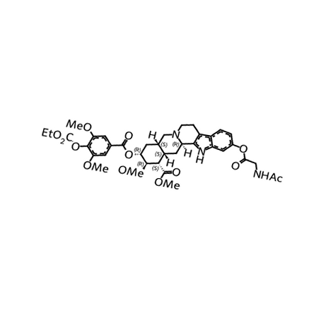 CCOC(=O)Oc1c(OC)cc(C(=O)O[C@@H]2C[C@@H]3CN4CCc5c([nH]c6cc(OC(=O)CNC(C)=O)ccc56)[C@H]4C[C@@H]3[C@H](C(=O)OC)[C@H]2OC)cc1OC